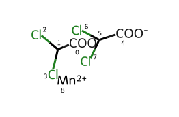 O=C([O-])C(Cl)Cl.O=C([O-])C(Cl)Cl.[Mn+2]